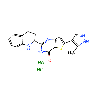 Cc1[nH]ncc1-c1cc2nc(C3CCc4ccccc4N3)[nH]c(=O)c2s1.Cl.Cl